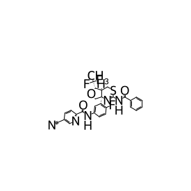 CC(F)(F)[C@H]1OC[C@]2(c3cc(NC(=O)c4ccc(C#N)cn4)ccc3F)N=C(NC(=O)c3ccccc3)SC[C@H]12